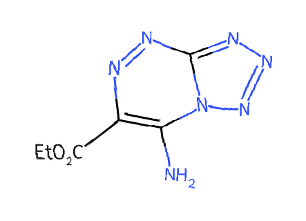 CCOC(=O)c1nnc2nnnn2c1N